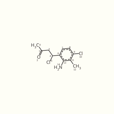 CC(=O)CC(Cl)c1ccc(Cl)c(C)c1N